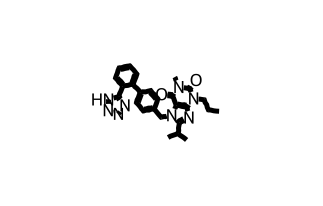 CCCn1c(=O)n(C)c(=O)c2c1nc(C(C)C)n2Cc1ccc(-c2ccccc2-c2nnn[nH]2)cc1